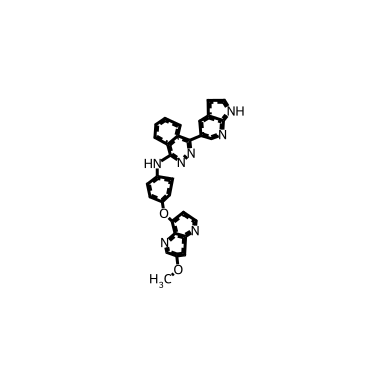 COc1cnc2c(Oc3ccc(Nc4nnc(-c5cnc6[nH]ccc6c5)c5ccccc45)cc3)ccnc2c1